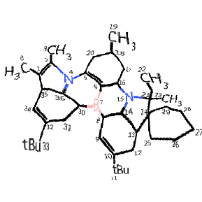 CC1=C(C)N2C3=C4B(C5C=C(C(C)(C)C)CC6C5N(C4CC(C)C3)C(C)(C)C63CCCCC3)C3CC(C(C)(C)C)=CC1C32